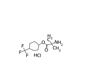 CC(C)(N)C(=O)OC1CCC(C(F)(F)F)CC1.Cl